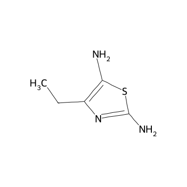 CCc1nc(N)sc1N